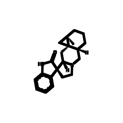 C[C@]12CCC[C@H]3CN4CC[C@@]5(C(=O)Nc6ccccc65)[C@@H]4C[C@@]31C2